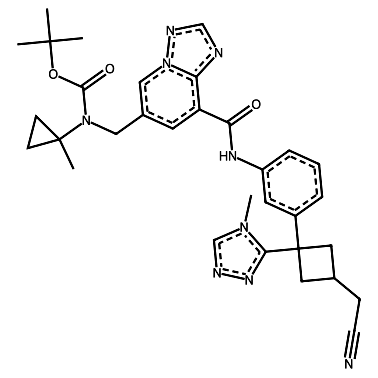 Cn1cnnc1C1(c2cccc(NC(=O)c3cc(CN(C(=O)OC(C)(C)C)C4(C)CC4)cn4ncnc34)c2)CC(CC#N)C1